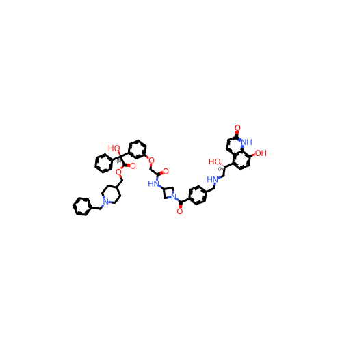 O=C(COc1cccc([C@](O)(C(=O)OCC2CCN(Cc3ccccc3)CC2)c2ccccc2)c1)NC1CN(C(=O)c2ccc(CNC[C@H](O)c3ccc(O)c4[nH]c(=O)ccc34)cc2)C1